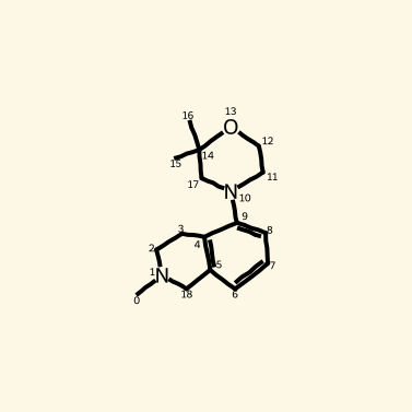 CN1CCc2c(cccc2N2CCOC(C)(C)C2)C1